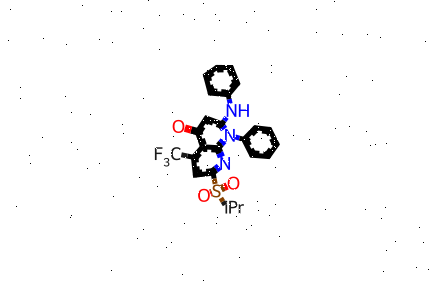 CC(C)S(=O)(=O)c1cc(C(F)(F)F)c2c(=O)cc(Nc3ccccc3)n(-c3ccccc3)c2n1